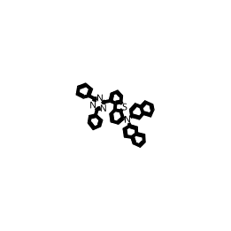 C1=CC2c3c(cccc3-c3nc(-c4ccccc4)nc(-c4ccccc4)n3)SC2C(N(c2ccc3ccccc3c2)c2ccc3ccccc3c2)=C1